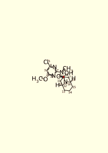 COc1cc(Cl)nc(N(C)[C@H]2C[C@H]3CCC[C@@H](C2)N3C(=O)O)n1